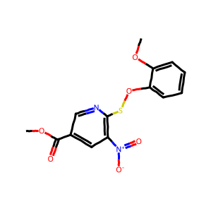 COC(=O)c1cnc(SOc2ccccc2OC)c([N+](=O)[O-])c1